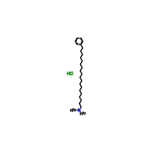 CCCN(CCC)CCCCCCCCCCCCCCCCCCCc1ccccc1.Cl